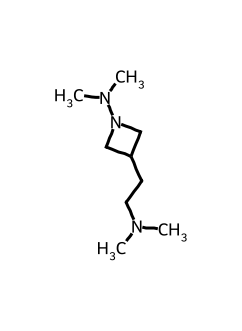 CN(C)CCC1CN(N(C)C)C1